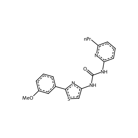 CCCc1cccc(NC(=O)Nc2csc(-c3cccc(OC)c3)n2)n1